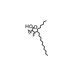 CCCCCCCCCCCC(CCCCCC)C(F)C(C(=O)O)N(C)C